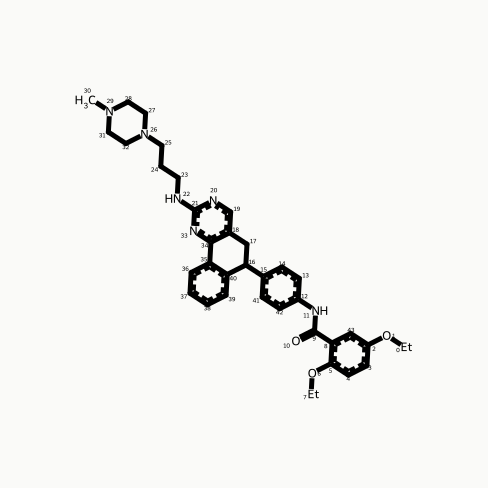 CCOc1ccc(OCC)c(C(=O)Nc2ccc(C3Cc4cnc(NCCCN5CCN(C)CC5)nc4-c4ccccc43)cc2)c1